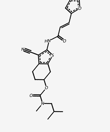 CC(C)CN(C)C(=O)OC1CCc2c(sc(NC(=O)C=Cc3ccco3)c2C#N)C1